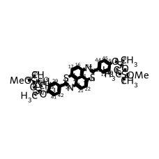 CO[Si](C)(C)O[Si](C)(C)Oc1ccc(C2=Nc3ccc4c5c(ccc(c35)S2)N=C(c2ccc(O[Si](C)(C)O[Si](C)(C)OC)cc2)S4)cc1